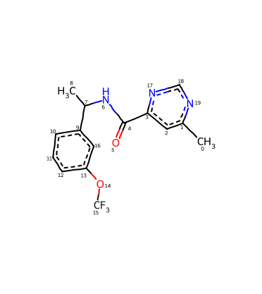 Cc1cc(C(=O)NC(C)c2cccc(OC(F)(F)F)c2)ncn1